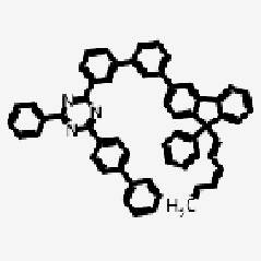 C=C/C=C\C=C\C1(c2ccccc2)c2ccccc2-c2cc(-c3cccc(-c4cccc(-c5nc(-c6ccccc6)nc(-c6ccc(-c7ccccc7)cc6)n5)c4)c3)ccc21